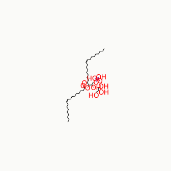 CCCCCCCC/C=C\CCCCCCCC(=O)OC(C(=O)CCCCCCC/C=C\CCCCCCCC)C(O)COP(=O)(O)O.OCC(O)CO